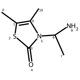 Cc1sc(=O)n(C(C)N)c1C